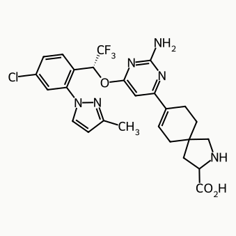 Cc1ccn(-c2cc(Cl)ccc2[C@@H](Oc2cc(C3=CCC4(CC3)CNC(C(=O)O)C4)nc(N)n2)C(F)(F)F)n1